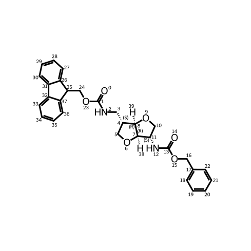 O=C(NC[C@H]1CO[C@H]2[C@@H]1OC[C@@H]2NC(=O)OCc1ccccc1)OCC1c2ccccc2-c2ccccc21